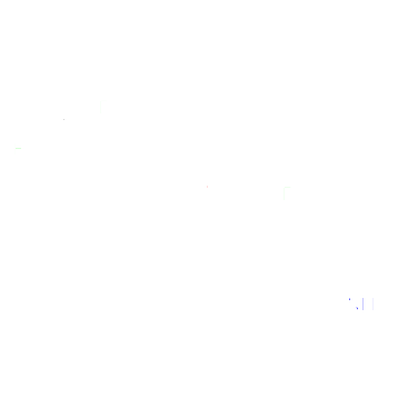 NCC=C(F)COc1cccc(C(F)(F)F)c1